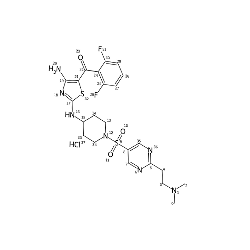 CN(C)CCc1ncc(S(=O)(=O)N2CCC(Nc3nc(N)c(C(=O)c4c(F)cccc4F)s3)CC2)cn1.Cl